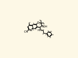 [C-]#[N+]c1cc(C)c2cc3c(cc2n1)C(NCCc1ccccc1)C(O)C(C)(C)O3